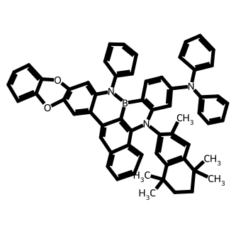 Cc1cc2c(cc1N1c3cc(N(c4ccccc4)c4ccccc4)ccc3B3c4c(cc5ccccc5c41)-c1cc4c(cc1N3c1ccccc1)Oc1ccccc1O4)C(C)(C)CCC2(C)C